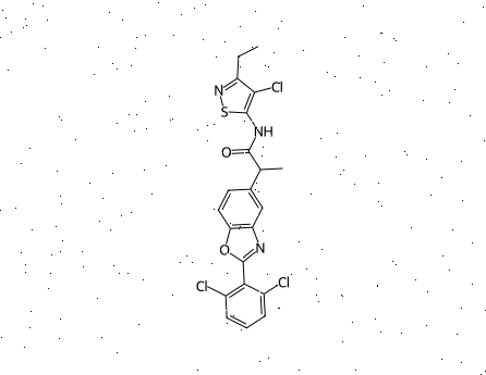 CCc1nsc(NC(=O)C(C)c2ccc3oc(-c4c(Cl)cccc4Cl)nc3c2)c1Cl